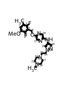 COc1cc(C)c(F)c(COc2cnc(Nc3cnn(CCN4CCN(C)CC4)c3)cn2)c1F